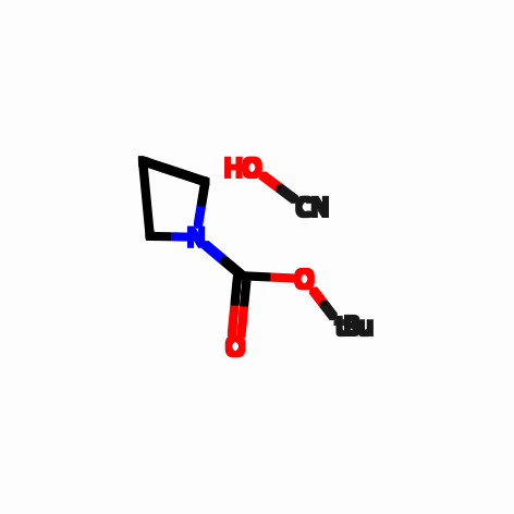 CC(C)(C)OC(=O)N1CCC1.N#CO